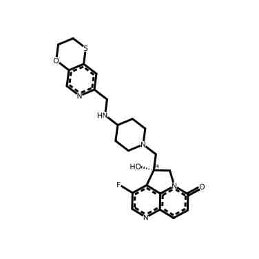 O=c1ccc2ncc(F)c3c2n1C[C@]3(O)CN1CCC(NCc2cc3c(cn2)OCCS3)CC1